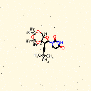 CC(C)[Si]1(C(C)C)OC[C@H]2OC(n3ccc(=O)[nH]c3=O)=C(C#C[Si](C)(C)C)[C@@H]2O[Si](C(C)C)(C(C)C)O1